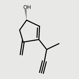 C#CC(C)C1=C[C@@H](O)CC1=C